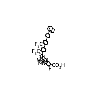 COc1cc(C(=O)O)c(F)cc1NS(=O)(=O)c1csc(-c2ccc(-c3ccc(-c4ccc(C56CC7CC(CC(C7)C5)C6)cc4)cc3C(F)(F)F)cc2C(F)(F)F)n1